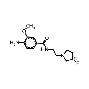 COc1cc(C(=O)NCCN2CC[C@H](F)C2)ccc1N